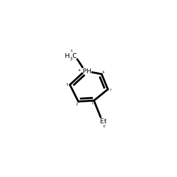 CCC1=CC=[PH](C)C=C1